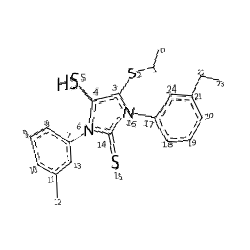 CCSc1c(S)n(-c2cccc(C)c2)c(=S)n1-c1cccc(CC)c1